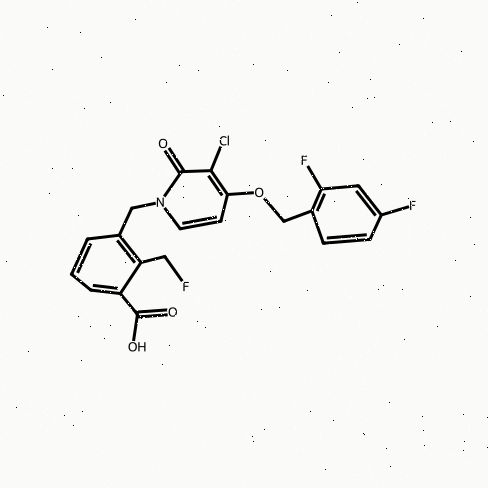 O=C(O)c1cccc(Cn2ccc(OCc3ccc(F)cc3F)c(Cl)c2=O)c1CF